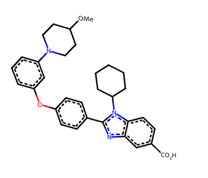 COC1CCN(c2cccc(Oc3ccc(-c4nc5cc(C(=O)O)ccc5n4C4CCCCC4)cc3)c2)CC1